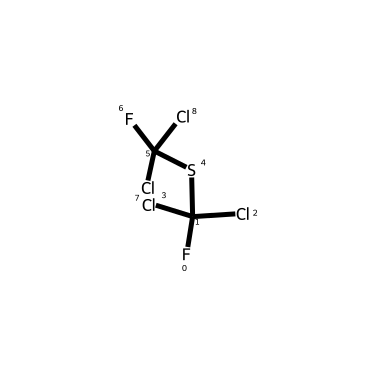 FC(Cl)(Cl)SC(F)(Cl)Cl